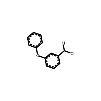 ClC(Cl)c1cccc(Oc2ccccc2)c1